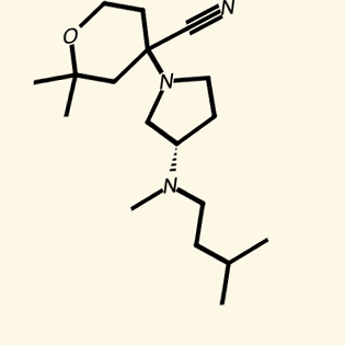 CC(C)CCN(C)[C@H]1CCN(C2(C#N)CCOC(C)(C)C2)C1